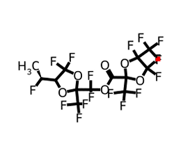 C[C@H](F)C1OC(C(F)(F)F)(C(F)(F)OC(=O)C2(C(F)(F)F)OC(F)(F)C(F)(C(F)(F)F)O2)OC1(F)F